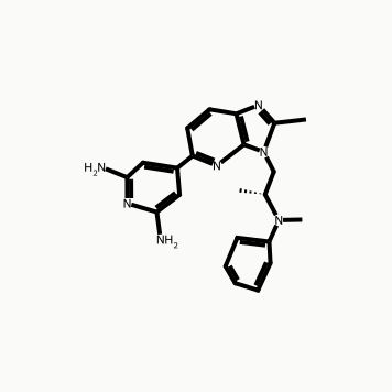 Cc1nc2ccc(-c3cc(N)nc(N)c3)nc2n1C[C@@H](C)N(C)c1ccccc1